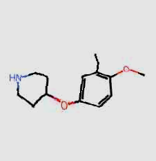 COc1ccc(OC2CCNCC2)cc1C